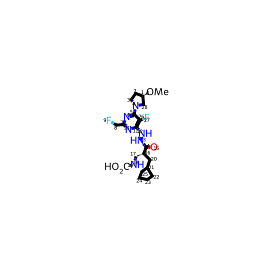 CO[C@H]1CCN(c2nc(CF)nc(NNC(=O)[C@@H](CNC(=O)O)CC3CCCC3)c2F)C1